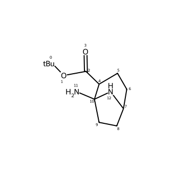 CC(C)(C)OC(=O)C1CCC2CCC1(N)N2